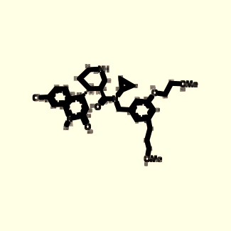 COCCCc1cc(CN(C(=O)[C@@H]2CNCC[C@H]2c2cc(=O)n(C)c3cc(Cl)ccc23)C2CC2)cc(OCCOC)c1